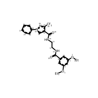 CCOc1cc(OCC)cc(C(=O)NCCNC(=O)c2cn(-c3ccccc3)nc2C(F)(F)F)c1